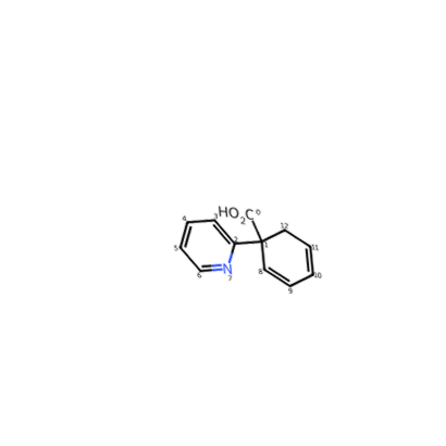 O=C(O)C1(c2ccccn2)C=CC=CC1